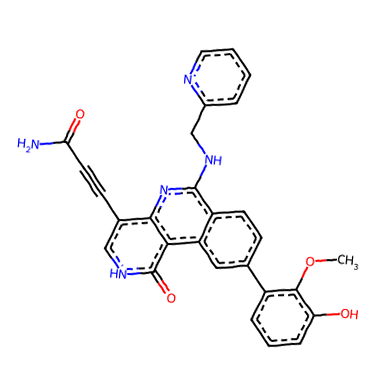 COc1c(O)cccc1-c1ccc2c(NCc3ccccn3)nc3c(C#CC(N)=O)c[nH]c(=O)c3c2c1